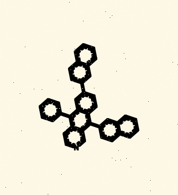 c1ccc(-c2c3ccncc3c(-c3ccc4ccccc4c3)c3ccc(-c4ccc5ccccc5c4)cc23)cc1